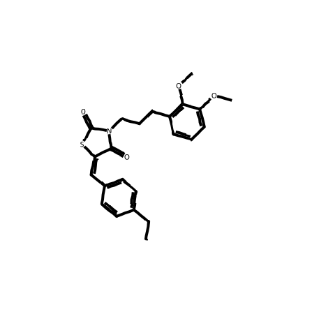 CCc1ccc(C=C2SC(=O)N(CCCc3cccc(OC)c3OC)C2=O)cc1